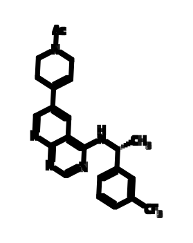 CC(=O)N1CC=C(c2cnc3ncnc(N[C@H](C)c4cccc(C(F)(F)F)c4)c3c2)CC1